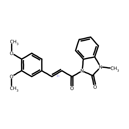 COc1ccc(/C=C/C(=O)n2c(=O)n(C)c3ccccc32)cc1OC